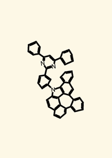 c1ccc(-c2cc(-c3ccccc3)nc(-c3cccc(-n4c5ccc6cccc7c6c5c5c(cc6ccccc6c54)-c4ccccc4-7)c3)n2)cc1